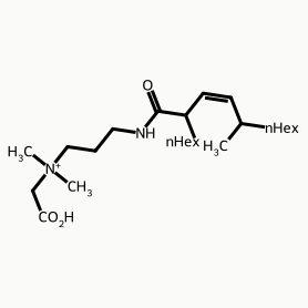 CCCCCCC(C)/C=C\C(CCCCCC)C(=O)NCCC[N+](C)(C)CC(=O)O